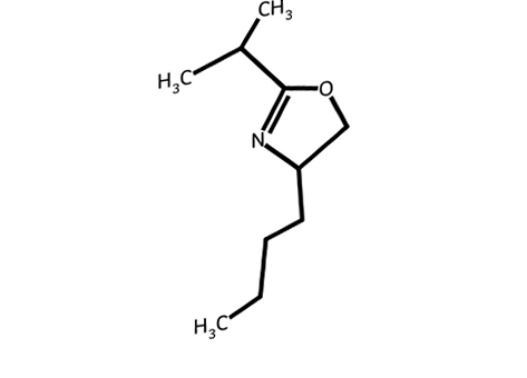 CCCCC1COC(C(C)C)=N1